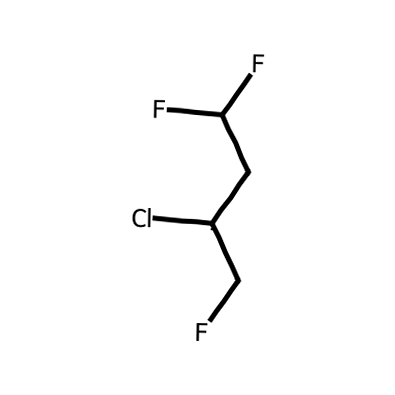 FC[C](Cl)CC(F)F